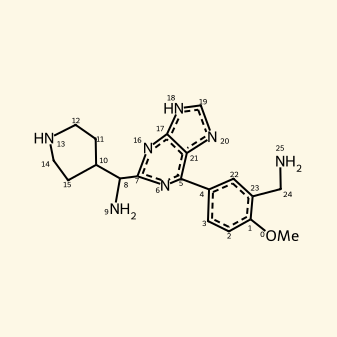 COc1ccc(-c2nc(C(N)C3CCNCC3)nc3[nH]cnc23)cc1CN